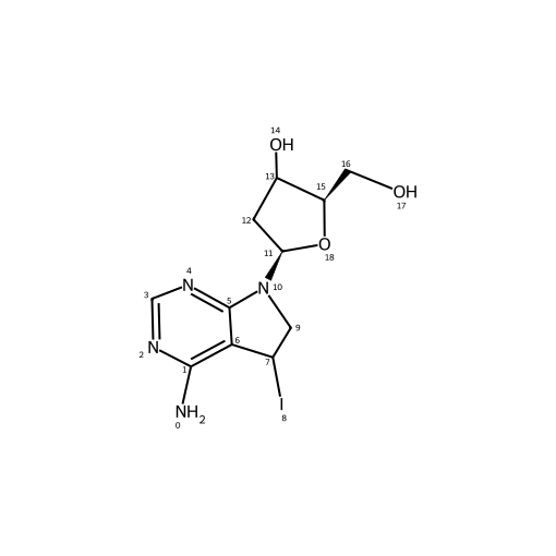 Nc1ncnc2c1C(I)CN2[C@H]1CC(O)[C@@H](CO)O1